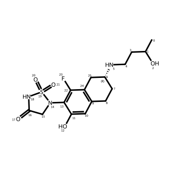 CC(O)CCN[C@@H]1CCc2cc(O)c(N3CC(=O)NS3(=O)=O)c(F)c2C1